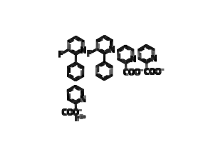 Fc1cccnc1-c1ccccc1.Fc1cccnc1-c1ccccc1.O=C([O-])c1ccccn1.O=C([O-])c1ccccn1.O=C([O-])c1ccccn1.[Ir+3]